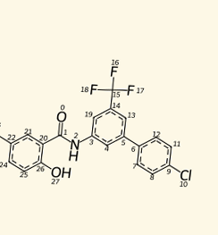 O=C(Nc1cc(-c2ccc(Cl)cc2)cc(C(F)(F)F)c1)c1cc(Cl)ccc1O